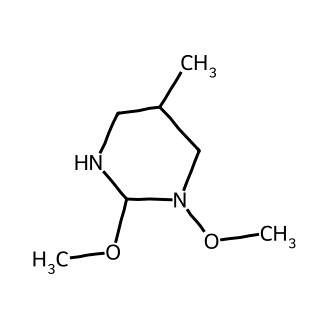 COC1NCC(C)CN1OC